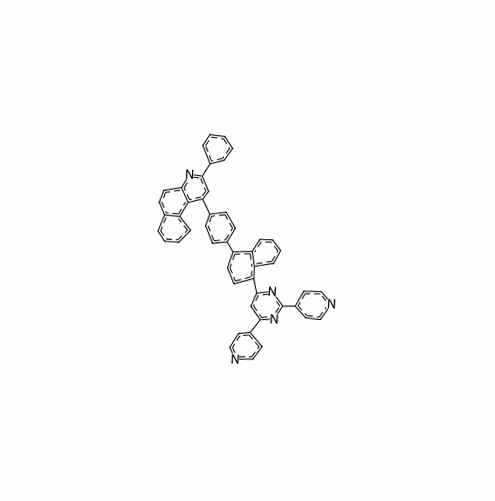 c1ccc(-c2cc(-c3ccc(-c4ccc(-c5cc(-c6ccncc6)nc(-c6ccncc6)n5)c5ccccc45)cc3)c3c(ccc4ccccc43)n2)cc1